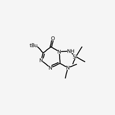 CN(C)c1nnc(C(C)(C)C)c(=O)n1N[Si](C)(C)C